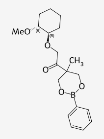 CO[C@@H]1CCCC[C@H]1OCC(=O)C1(C)COB(c2ccccc2)OC1